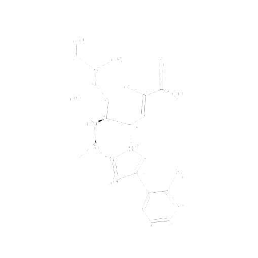 CC(=O)N[C@H]1[C@H]([C@H](O)C(O)CO)OC(C(=O)O)=C[C@@H]1n1cc(-c2ccccc2Br)nn1